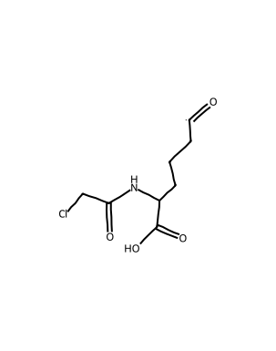 O=[C]CCCC(NC(=O)CCl)C(=O)O